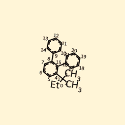 CCC(C)(C)c1cccc(-c2ccccc2)c1-c1ccccc1